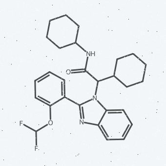 O=C(NC1CCCCC1)C(C1CCCCC1)n1c(-c2ccccc2OC(F)F)nc2ccccc21